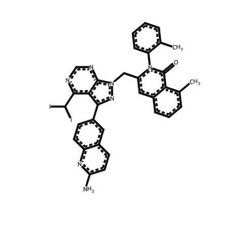 Cc1ccccc1-n1c(Cn2nc(-c3ccc4nc(N)ccc4c3)c3c(C(I)I)ncnc32)cc2cccc(C)c2c1=O